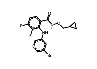 O=C(NOCC1CC1)c1ccc(F)c(F)c1Nc1cncc(Br)c1